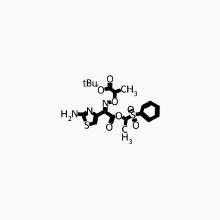 CC(ON=C(C(=O)OC(C)S(=O)(=O)c1ccccc1)c1csc(N)n1)C(=O)OC(C)(C)C